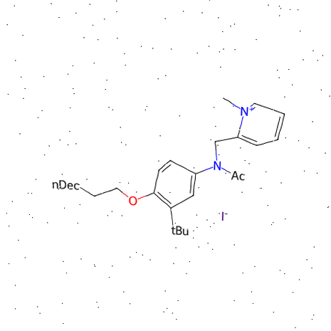 CCCCCCCCCCCCOc1ccc(N(Cc2cccc[n+]2C)C(C)=O)cc1C(C)(C)C.[I-]